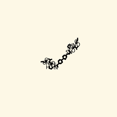 CCOC(=O)N[C@H](C(=O)N1CCC[C@H]1c1ncc(-c2ccc(-c3ccc(-c4cnc([C@@H]5CCCN5C(=O)[C@@H](NC(=O)OCC)C(C)C)s4)cc3)cc2)s1)C(C)C